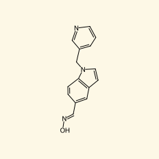 ON=Cc1ccc2c(ccn2Cc2cccnc2)c1